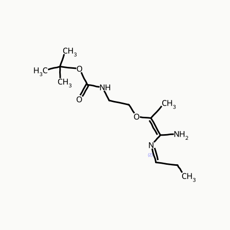 CC/C=N\C(N)=C(C)OCCNC(=O)OC(C)(C)C